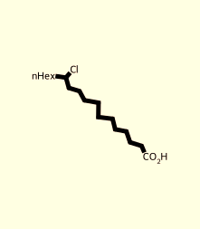 CCCCCCC(Cl)CCCCCCCCCCC(=O)O